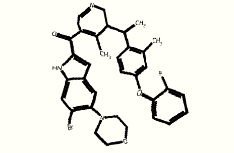 CC1=C(C(=O)c2cc3cc(N4CCOCC4)c(Br)cc3[nH]2)C=NCC1C(C)c1ccc(Oc2ccccc2F)cc1C